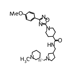 COc1ccc(-c2noc(N3CCC(C(=O)NCC4CCN(C[C@H]5CCCN(C)C5)C4)CC3)n2)cc1